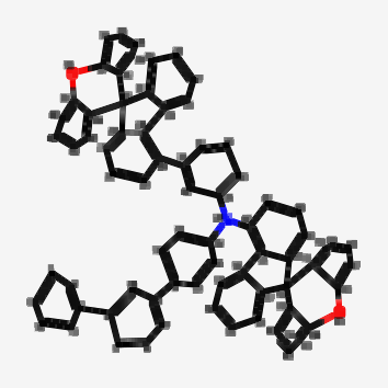 c1ccc(-c2cccc(-c3ccc(N(c4cccc(-c5cccc6c5-c5ccccc5C65c6ccccc6Oc6ccccc65)c4)c4cccc5c4-c4ccccc4C54c5ccccc5Oc5ccccc54)cc3)c2)cc1